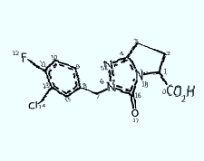 O=C(O)C1CCc2nn(Cc3ccc(F)c(Cl)c3)c(=O)n21